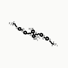 Cc1c(N)ccc(-c2ccc(N)cc2C(=O)C=Cc2ccc(OC(=O)c3ccc(OCCCC(F)(F)C(F)(F)F)cc3)cc2)c1C(=O)C=Cc1ccc(OC(=O)c2ccc(OCCCC(F)(F)C(F)(F)F)cc2)cc1